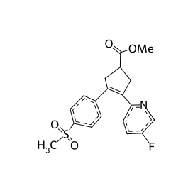 COC(=O)C1CC(c2ccc(S(C)(=O)=O)cc2)=C(c2ccc(F)cn2)C1